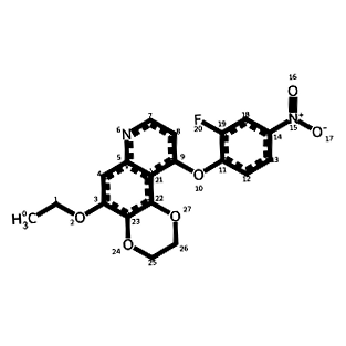 CCOc1cc2nccc(Oc3ccc([N+](=O)[O-])cc3F)c2c2c1OCCO2